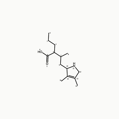 CCCC(C(=O)O)C(C)CC1NCC(C)=C1C